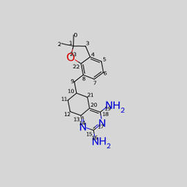 CC1(C)Cc2cccc(CC3CCc4nc(N)nc(N)c4C3)c2O1